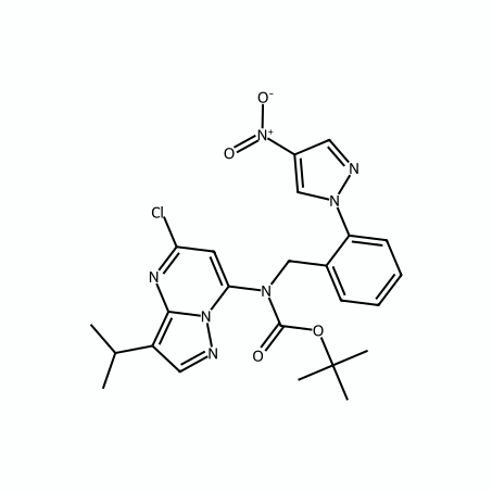 CC(C)c1cnn2c(N(Cc3ccccc3-n3cc([N+](=O)[O-])cn3)C(=O)OC(C)(C)C)cc(Cl)nc12